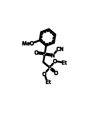 CCOP(=O)(CS(=O)(=NC#N)c1ccccc1OC)OCC